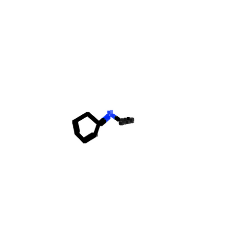 CON=C1[C]=CC=CC1